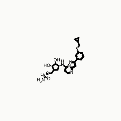 NS(=O)(=O)OCC1C[C@@H](Nc2ccnc3cc(-c4cccc(SCC5CC5)c4)nn23)[C@H](O)[C@@H]1O